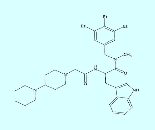 CCc1cc(CN(C)C(=O)C(Cc2c[nH]c3ccccc23)NC(=O)CN2CCC(N3CCCCC3)CC2)cc(CC)c1CC